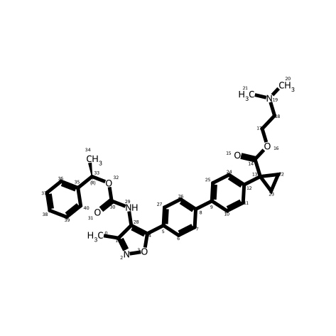 Cc1noc(-c2ccc(-c3ccc(C4(C(=O)OCCN(C)C)CC4)cc3)cc2)c1NC(=O)O[C@H](C)c1ccccc1